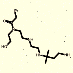 CC(C)CC(=O)N(CCO)CCNCCNC(C)(C)CCN